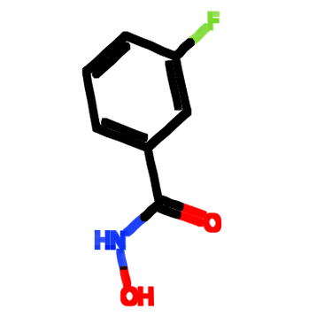 O=C(NO)c1cccc(F)c1